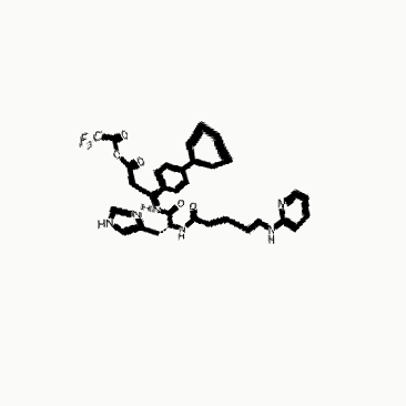 O=C(CCCCNc1ccccn1)N[C@H](Cc1c[nH]cn1)C(=O)NC(CC(=O)OC(=O)C(F)(F)F)c1ccc(-c2ccccc2)cc1